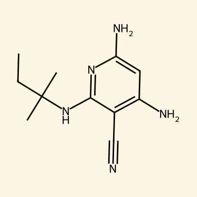 CCC(C)(C)Nc1nc(N)cc(N)c1C#N